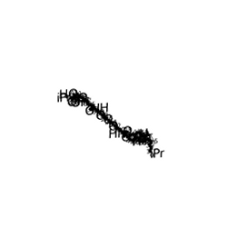 CC(C)CCC[C@@H](C)[C@H]1CC[C@H]2[C@@H]3CC=C4CC(OC(=O)NCCCOCCOCCOCCNC(=O)CCCCOC5CC(O)(C(O)C(C)C)C5O)CC[C@]4(C)[C@H]3CC[C@]12C